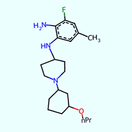 CCCOC1CCCC(N2CCC(Nc3cc(C)cc(F)c3N)CC2)C1